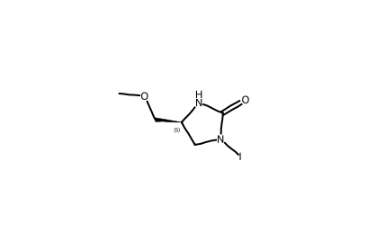 COC[C@@H]1CN(I)C(=O)N1